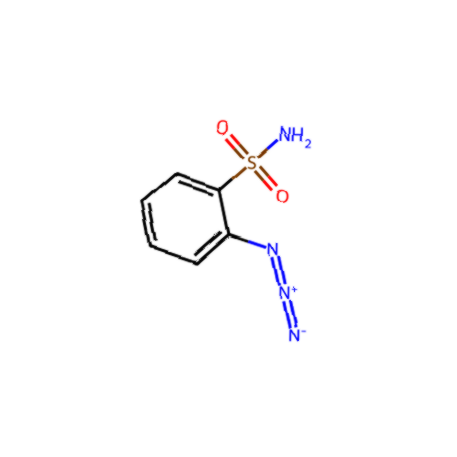 [N-]=[N+]=Nc1ccccc1S(N)(=O)=O